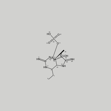 CCC1NC(=N)N2CC(OS(=O)(=O)O)[C@@](C)(O)[C@@]23NC(=N)NC13